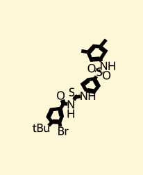 Cc1cc(C)cc(NS(=O)(=O)c2ccc(NC(=S)NC(=O)c3ccc(C(C)(C)C)c(Br)c3)cc2)c1